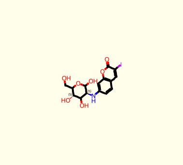 O=c1oc2cc(N[C@@H]3C(O)OC(CO)[C@@H](O)C3O)ccc2cc1I